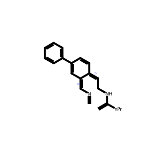 C=N/C=c1/cc(-c2ccccc2)cc/c1=C/CNC(=C)CCC